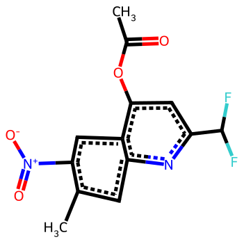 CC(=O)Oc1cc(C(F)F)nc2cc(C)c([N+](=O)[O-])cc12